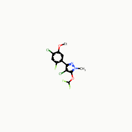 [CH2]COc1cc(-c2nn(C)c(OC(F)F)c2Cl)c(F)cc1Cl